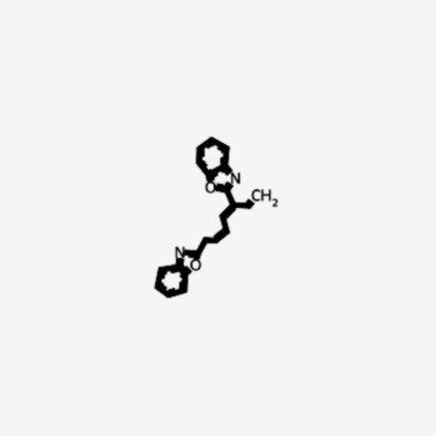 C=C/C(=C\C=C/Cc1nc2ccccc2o1)c1nc2ccccc2o1